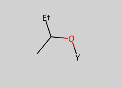 CCC(C)[O][Y]